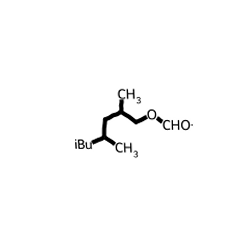 CCC(C)C(C)CC(C)CO[C]=O